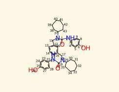 O=C(Nc1ccc(O)cc1)N(Cc1cccc(CN(C(=O)Nc2ccc(O)cc2)C2CCCCCC2)c1)C1CCCCCC1